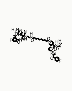 CN[C@@H](C)C(=O)N[C@H](C(=O)N1CCC[C@H]1C1=NC(C(=O)c2ccc(F)cc2)CS1)C1CCN(C(=O)CCCCCCCCC(=O)NCCN2N=CC3C(=C2C#N)c2cnc(N)c(n2)O[C@H](C)c2cc(F)ccc2C(=O)N3C)CC1